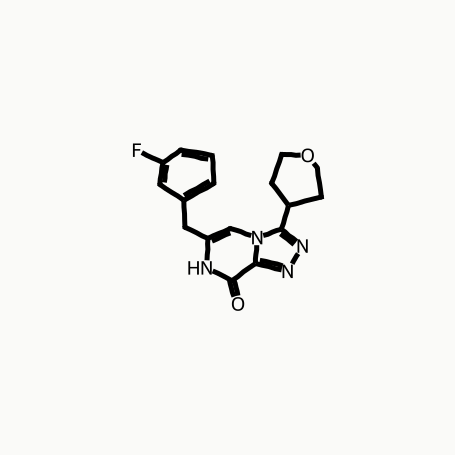 O=c1[nH]c(Cc2cccc(F)c2)cn2c(C3CCOCC3)nnc12